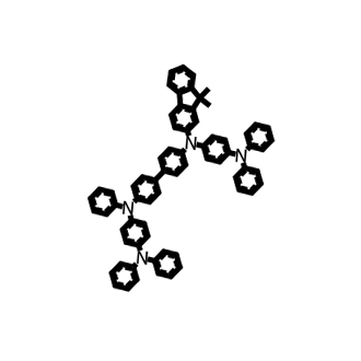 CC1(C)c2ccccc2-c2ccc(N(c3ccc(-c4ccc(N(c5ccccc5)c5ccc(N(c6ccccc6)c6ccccc6)cc5)cc4)cc3)c3ccc(N(c4ccccc4)c4ccccc4)cc3)cc21